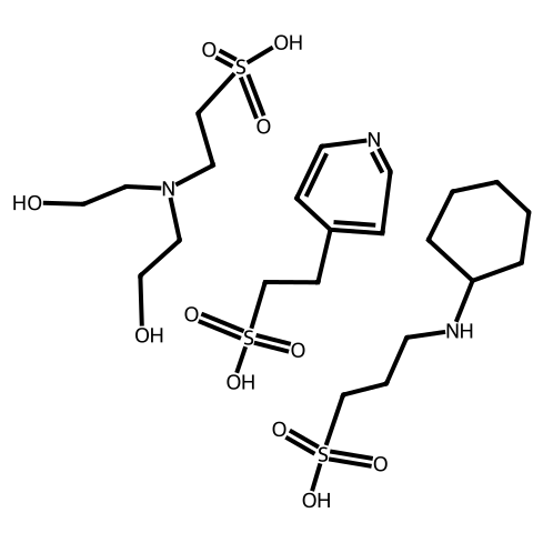 O=S(=O)(O)CCCNC1CCCCC1.O=S(=O)(O)CCN(CCO)CCO.O=S(=O)(O)CCc1ccncc1